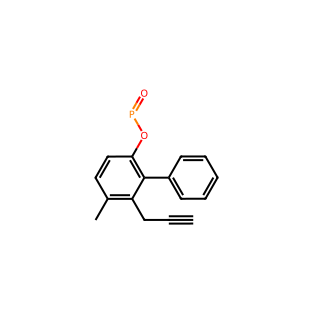 C#CCc1c(C)ccc(OP=O)c1-c1ccccc1